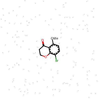 COc1ccc(Br)c2c1C(=O)CCO2